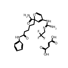 NC(=O)C1(CCCCC(=O)Nc2ccccc2)C=C(NC(N)=NCC(F)(F)F)C=CO1.O=C(O)C=CC(=O)O